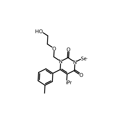 Cc1cccc(-c2c(C(C)C)c(=O)n([Se])c(=O)n2COCCO)c1